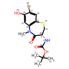 CN1C(=O)[C@@H](NC(=O)OC(C)(C)C)CSc2cc(Br)c(O)cc21